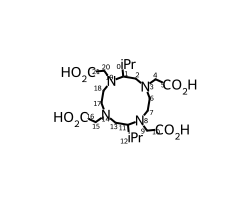 CC(C)C1CN(CC(=O)O)CCN(CC(=O)O)C(C(C)C)CN(CC(=O)O)CCN1CC(=O)O